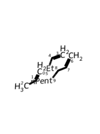 C=CC.C=CCC.C=CCCCCCC